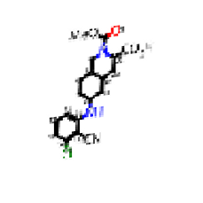 COC(=O)N1CC2CCC(Nc3cccc(Cl)c3C#N)CC2CC1C(=O)O